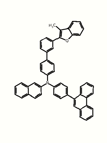 Cc1c(-c2cccc(-c3ccc(N(c4ccc(-c5cc6ccccc6c6ccccc56)cc4)c4ccc5ccccc5c4)cc3)c2)oc2ccccc12